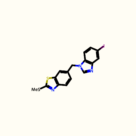 CSc1nc2ccc(Cn3cnc4cc(I)ccc43)cc2s1